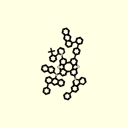 CC(C)(C)c1ccccc1C1=CC=CCN1c1cc2oc3c(N(c4ccc5ccccc5c4)c4c5ccccc5cc5c(-c6ccccc6)cccc45)ccc4c5cc(N6C=c7cc(-c8ccccc8)ccc7=C7CC=CC=C76)cc6oc7cc(-c8ccc(-c9ccccc9-c9cccc%10cc%11ccccc%11cc9%10)cc8)cc(c(c1)c2c34)c7c65